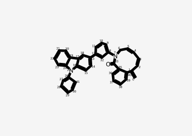 C=C1/C=C\C=C/CN(c2cccc(-c3ccc4c(c3)c3ccccc3n4-c3ccccc3)c2)C(=O)c2ccccc21